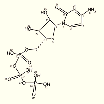 Nc1ccn([C@@H]2S[C@H](COP(=O)(O)OP(=O)(O)OP(=O)(O)O)C(O)C2O)c(=O)n1